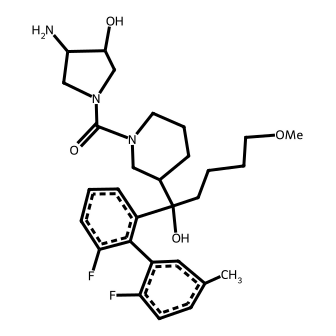 COCCCCC(O)(c1cccc(F)c1-c1cc(C)ccc1F)C1CCCN(C(=O)N2CC(N)C(O)C2)C1